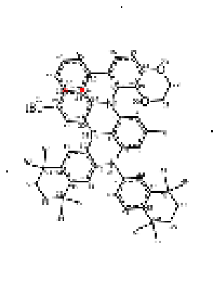 Cc1cc2c3c(c1)N(c1c(-c4ccccc4)ccc4c1OCCO4)c1ccc(C(C)(C)C)cc1B3c1cc3c(cc1N2c1ccc2c(c1)C(C)(C)CCC2(C)C)C(C)(C)CCC3(C)C